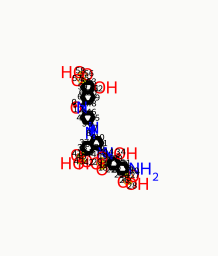 CON(c1ccc(N=Nc2ccc(N=Nc3c(S(=O)(=O)O)cc4cc(S(=O)(=O)O)c(N)cc4c3O)c3c2CC=C(S(=O)(=O)O)C3)cc1)c1ccc2c(O)cc(S(=O)(=O)O)cc2c1